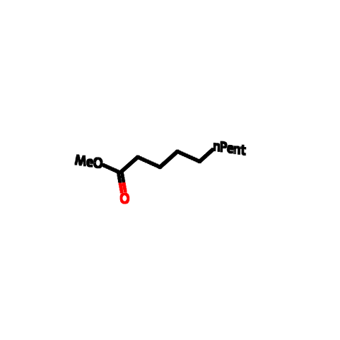 [CH2]CCCCCCCCC(=O)OC